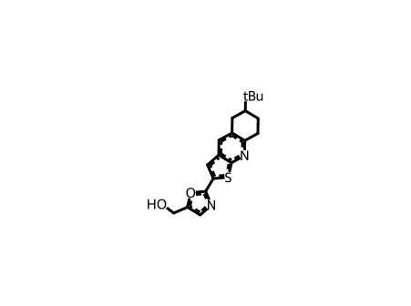 CC(C)(C)C1CCc2nc3sc(-c4ncc(CO)o4)cc3cc2C1